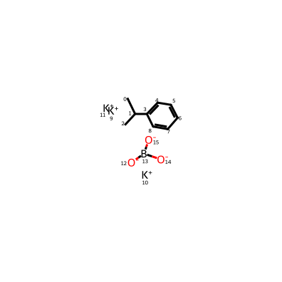 CC(C)c1ccccc1.[K+].[K+].[K+].[O-]B([O-])[O-]